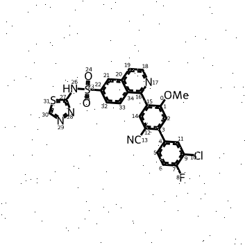 COc1cc(-c2ccc(F)c(Cl)c2)c(C#N)cc1-c1nccc2cc(S(=O)(=O)Nc3nncs3)ccc12